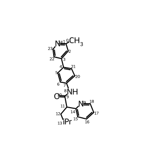 Cc1cc(-c2ccc(NC(=O)C(CC(C)C)c3ccccn3)cc2)ccn1